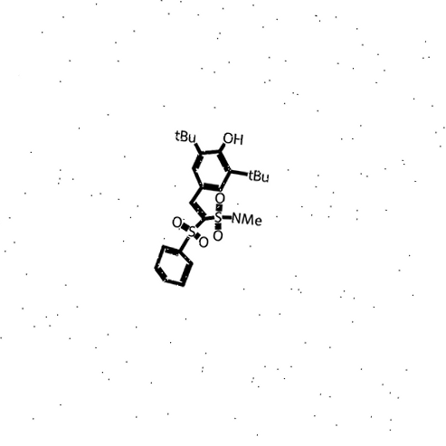 CNS(=O)(=O)/C(=C\c1cc(C(C)(C)C)c(O)c(C(C)(C)C)c1)S(=O)(=O)c1ccccc1